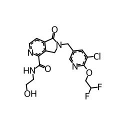 O=C(NCCO)c1nccc2c1CN(Cc1cnc(OCC(F)F)c(Cl)c1)C2=O